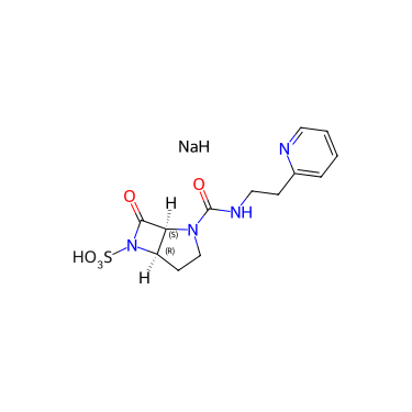 O=C(NCCc1ccccn1)N1CC[C@@H]2[C@H]1C(=O)N2S(=O)(=O)O.[NaH]